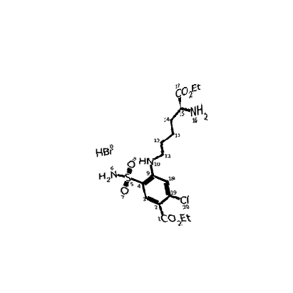 Br.CCOC(=O)c1cc(S(N)(=O)=O)c(NCCCC[C@H](N)C(=O)OCC)cc1Cl